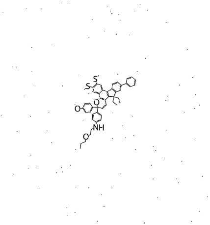 CCCOCCNc1ccc(C2(c3ccc(OC)cc3)C=Cc3c4c(c5cc(SC)c(SC)cc5c3O2)-c2ccc(-c3ccccc3)cc2C4(CC)CC)cc1